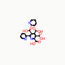 O=C(O)c1nc(-c2ccccn2)c(C(=O)O)c(C(=O)O)c1C(=O)O.c1ccncc1